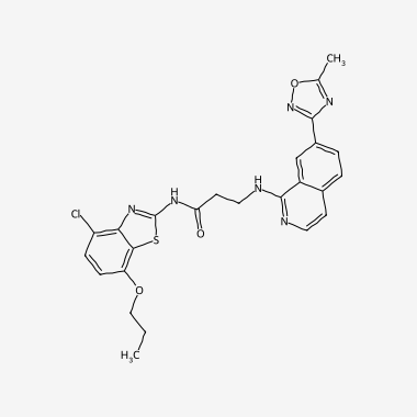 CCCOc1ccc(Cl)c2nc(NC(=O)CCNc3nccc4ccc(-c5noc(C)n5)cc34)sc12